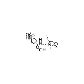 CCCC1Cc2ccsc2C(C)N1CCCNC(=O)c1ccc(NS(C)(=O)=O)cc1.Cl